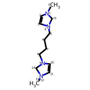 CN1C=CN(CCCCN2C=CN(C)C2)C1